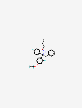 O=C(CCCC(F)(F)F)NC(Cc1ccccc1)(c1ccc(F)cc1)c1ccc(OC(F)(F)C(F)F)cc1F